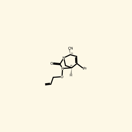 C=CCON1C(=O)N2C[C@H]1C(C(C)C)=C[C@H]2C#N